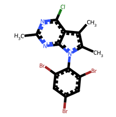 Cc1nc(Cl)c2c(C)c(C)n(-c3c(Br)cc(Br)cc3Br)c2n1